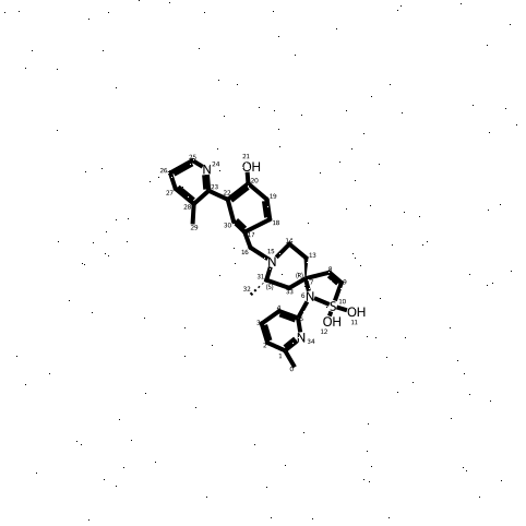 Cc1cccc(N2[C@]3(C=CS2(O)O)CCN(Cc2ccc(O)c(-c4ncccc4C)c2)[C@@H](C)C3)n1